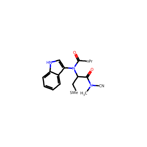 CCCC(=O)N(c1c[nH]c2ccccc12)C(CSC)C(=O)N(C)C#N